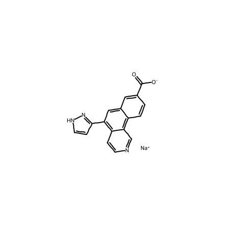 O=C([O-])c1ccc2c(c1)cc(-c1cc[nH]n1)c1ccncc12.[Na+]